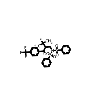 CC(C)(F)C(CN(S(=O)(=O)c1ccccc1)S(=O)(=O)c1ccccc1)C(=O)c1ccc(C(F)(F)F)cc1